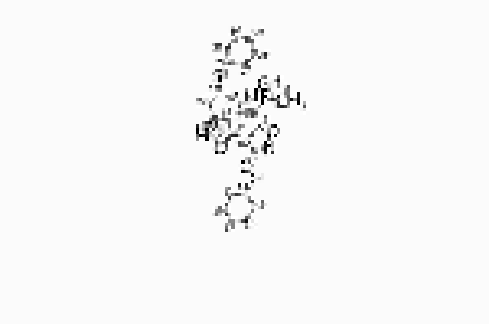 CN(C)[C@@H]1c2onc(OCc3ccccc3)c2C(=O)[C@@]2(O)C(=O)CC(Sc3ccccc3)C[C@@H]12